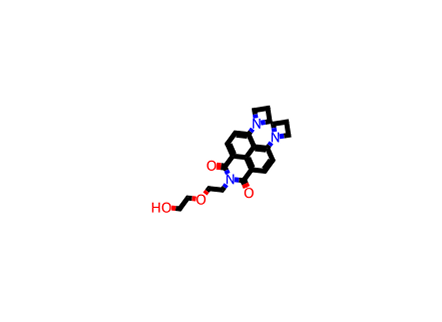 O=C1c2ccc(N3CCC3)c3c(N4CCC4)ccc(c23)C(=O)N1CCOCCO